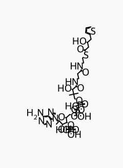 CC(C)(COP(=O)(O)OP(=O)(O)OCC1OC(C)(n2cnc3c(N)ncnc32)C(O)C1OP(=O)(O)O)C(O)C(=O)NCCC(=O)NCCSC(=O)CC(O)Cc1cccs1